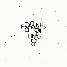 CC(Oc1cc(C(=O)NC2CCOCC2)nnc1N)c1c(Cl)ccc(F)c1Cl